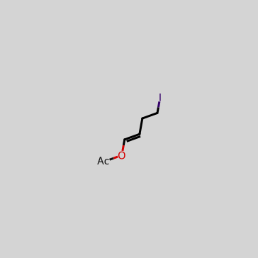 CC(=O)O/C=C/CCI